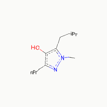 CCCc1nn(C)c(CC(C)C)c1O